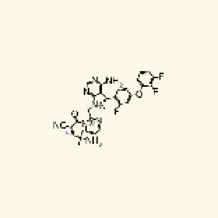 CC(C)(N)/C=C(/C#N)C(=O)N1C=CC=N[C@@H]1Cn1nc(-c2ccc(Oc3cccc(F)c3F)cc2F)c2c(N)ncnc21